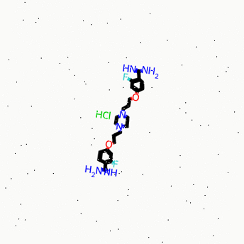 Cl.N=C(N)c1ccc(OCCCN2CCN(CCCOc3ccc(C(=N)N)c(F)c3)CC2)cc1F